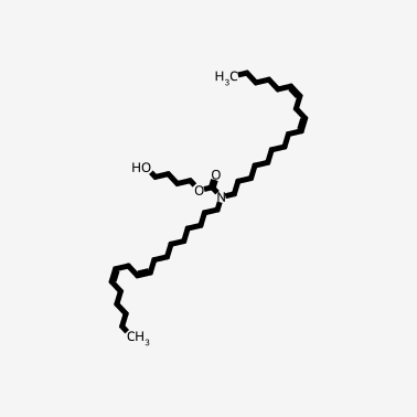 CCCCC/C=C\C/C=C\CCCCCCCCN(CCCCCCCC/C=C\C/C=C\CCCCC)C(=O)OCCCCO